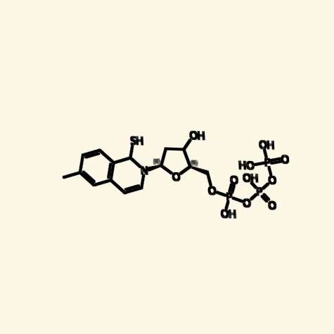 Cc1ccc2c(c1)C=CN([C@H]1CC(O)[C@@H](COP(=O)(O)OP(=O)(O)OP(=O)(O)O)O1)C2S